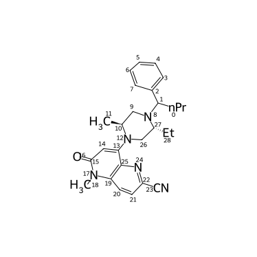 CCCC(c1ccccc1)N1C[C@H](C)N(c2cc(=O)n(C)c3ccc(C#N)nc23)C[C@H]1CC